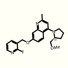 COC[C@@H]1CCCN1c1cc(C)nc2cc(OCc3cccnc3F)ccc12